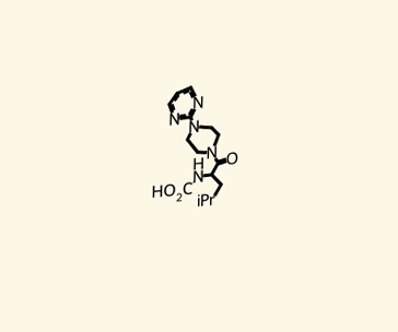 CC(C)CC(NC(=O)O)C(=O)N1CCN(c2ncccn2)CC1